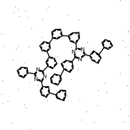 c1ccc(-c2ccc(-c3nc(-c4cccc(-c5ccccc5)c4)nc(-c4cccc(-c5cccc(-c6cccc(-c7cccc(-c8nc(-c9ccccc9)nc(-c9cccc(-c%10ccccc%10)c9)n8)c7)c6)c5)c4)n3)cc2)cc1